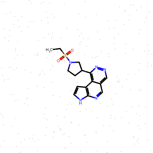 CCS(=O)(=O)N1CCC(c2nncc3cnc4[nH]ccc4c23)C1